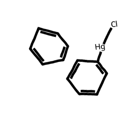 [Cl][Hg][c]1ccccc1.c1ccccc1